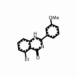 CCc1cccc2[nH]c(-c3cccc(OC)c3)nc(=O)c12